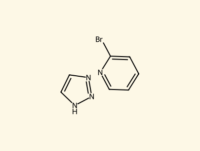 Brc1ccccn1.c1c[nH]nn1